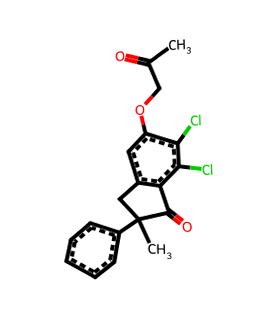 CC(=O)COc1cc2c(c(Cl)c1Cl)C(=O)C(C)(c1ccccc1)C2